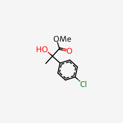 COC(=O)C(C)(O)c1ccc(Cl)cc1